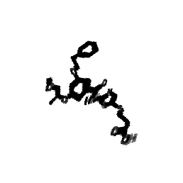 COC[C@H](C)Oc1cc(OCCc2ccccc2)cc(C(=O)Nc2ncc(SCCC(=O)O)s2)c1